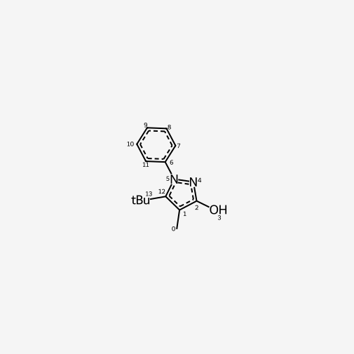 Cc1c(O)nn(-c2ccccc2)c1C(C)(C)C